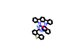 C1=CCCC(n2c3ccccc3c3ccc4c5ccccc5n(-c5nc(-c6ccccc6)nc(-c6cccc7sc8ccccc8c67)n5)c4c32)=C1